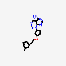 C/N=C\c1c(N)ncnc1N[C@H]1CC[C@H](OCCc2cccc(C)c2)C1